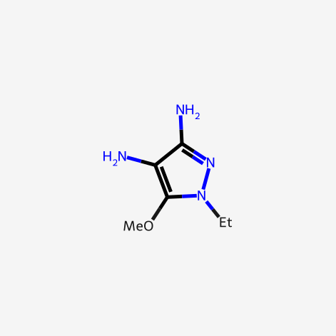 CCn1nc(N)c(N)c1OC